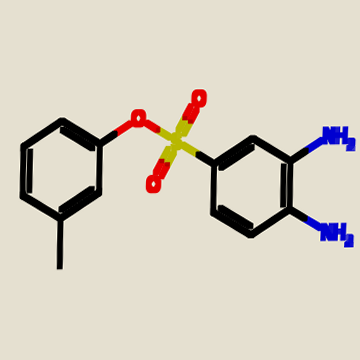 Cc1cccc(OS(=O)(=O)c2ccc(N)c(N)c2)c1